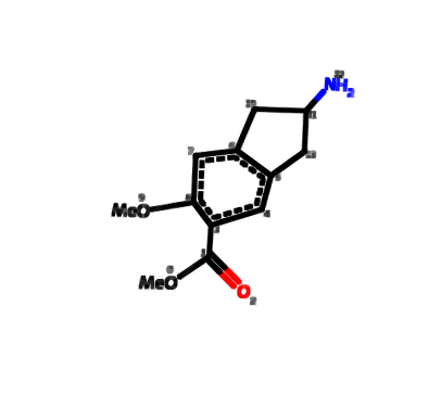 COC(=O)c1cc2c(cc1OC)CC(N)C2